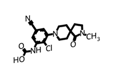 CN1CCC2(CCN(c3cc(C#N)cc(NC(=O)O)c3Cl)CC2)C1=O